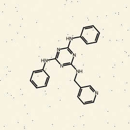 c1ccc(Nc2nc(NCc3cccnc3)nc(Nc3ccccc3)n2)cc1